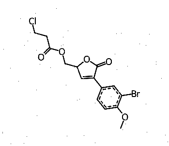 COc1ccc(C2=CC(COC(=O)CCCl)OC2=O)cc1Br